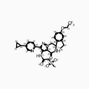 CS(=O)(=O)CC(=O)Nc1c(-c2ccc(C3CC3)cn2)nn2c1C(=O)N[C@@]1(CCc3cc(OCC(F)(F)F)ccc31)C2